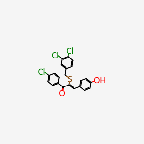 O=C(C(=Cc1ccc(O)cc1)SCc1ccc(Cl)c(Cl)c1)c1ccc(Cl)cc1